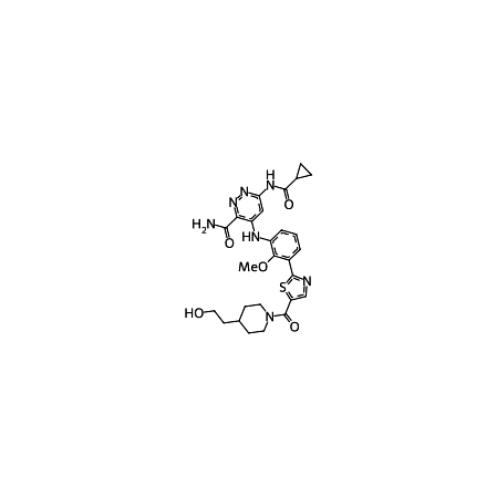 COc1c(Nc2cc(NC(=O)C3CC3)nnc2C(N)=O)cccc1-c1ncc(C(=O)N2CCC(CCO)CC2)s1